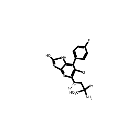 CC[C@@H](CC(N)(C(=O)O)C(C)C)c1nc2nc(O)[nH]c2c(-c2ccc(F)cc2)c1Cl